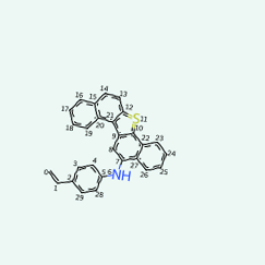 C=Cc1ccc(Nc2cc3c(sc4ccc5ccccc5c43)c3ccccc23)cc1